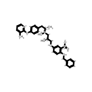 Cc1cccnc1Oc1ccc(C[C@H](C)N(O)C[C@H](O)COc2ccc(OCc3ccccc3)c([N+](=O)[O-])c2)cc1